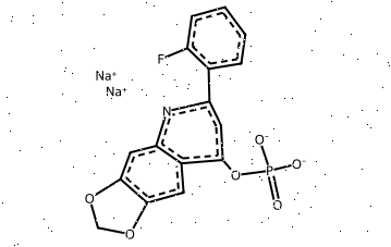 O=P([O-])([O-])Oc1cc(-c2ccccc2F)nc2cc3c(cc12)OCO3.[Na+].[Na+]